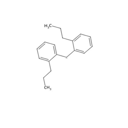 CCCc1ccccc1[C]c1ccccc1CCC